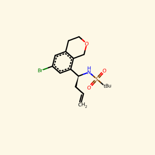 C=CC[C@H](NS(=O)(=O)C(C)(C)C)c1cc(Br)cc2c1COCC2